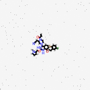 C=CC(=O)N1CCN(C2NC(OCC3CCCN3C)NC3C(=O)[C@@]4(CCc5cc(F)ccc5S4)CCC32)CC1CC#N